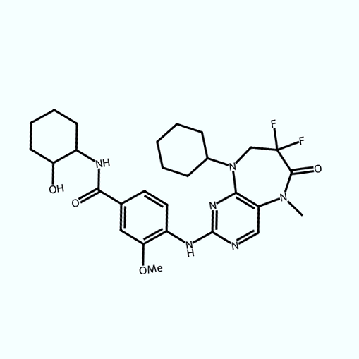 COc1cc(C(=O)NC2CCCCC2O)ccc1Nc1ncc2c(n1)N(C1CCCCC1)CC(F)(F)C(=O)N2C